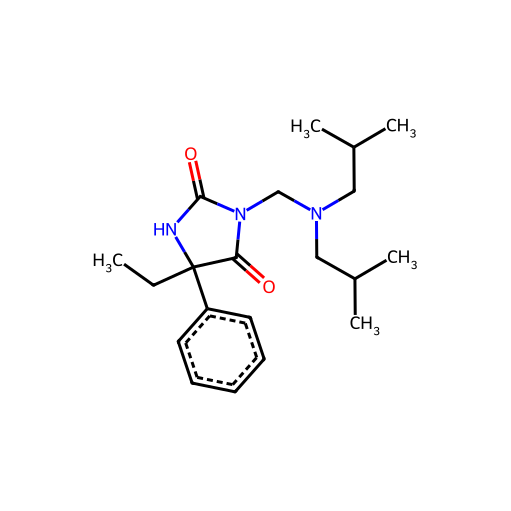 CCC1(c2ccccc2)NC(=O)N(CN(CC(C)C)CC(C)C)C1=O